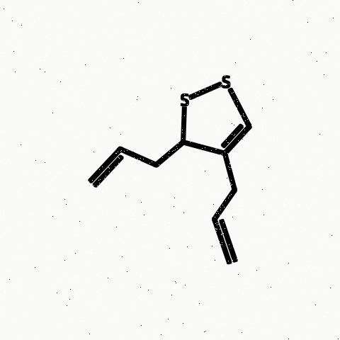 C=CCC1=CSSC1CC=C